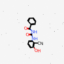 N#Cc1c(O)cccc1NC(=O)NC(=O)c1ccccc1